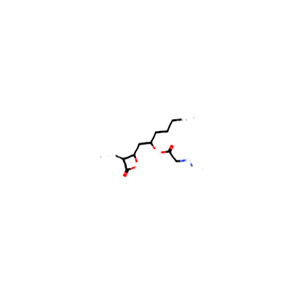 CCCCCCCCCCCCCC(CC1OC(=O)C1CCCCCC)OC(=O)CNC=O